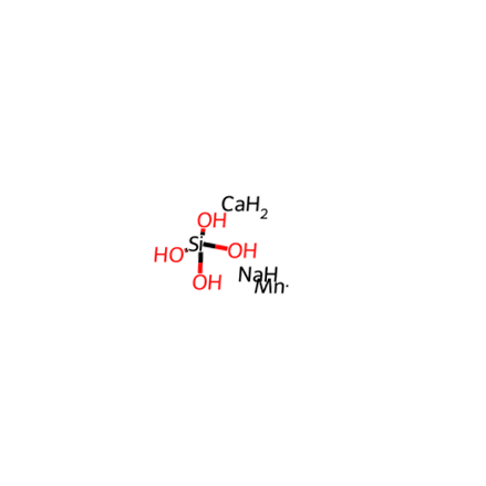 O[Si](O)(O)O.[CaH2].[Mn].[NaH]